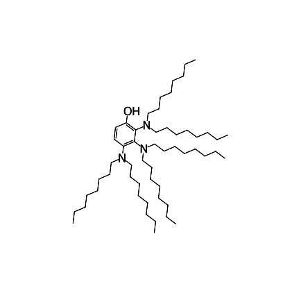 CCCCCCCCN(CCCCCCCC)c1ccc(O)c(N(CCCCCCCC)CCCCCCCC)c1N(CCCCCCCC)CCCCCCCC